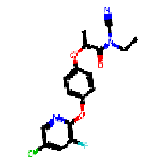 CCN(C#N)C(=O)C(C)Oc1ccc(Oc2ncc(Cl)cc2F)cc1